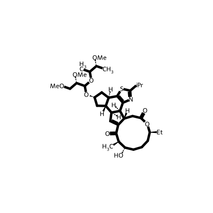 CC[C@H]1CCC[C@H](O)[C@@H](C)C(=O)C2=C[C@H]3[C@@H]4C[C@H](OC(OC(C)[C@@H](C)OC)[C@H](COC)OC)C[C@H]4c4sc(C(C)C)nc4[C@H]3[C@@H]2CC(=O)O1